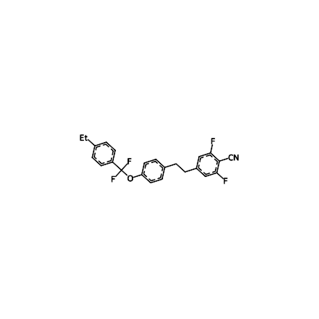 CCc1ccc(C(F)(F)Oc2ccc(CCc3cc(F)c(C#N)c(F)c3)cc2)cc1